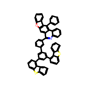 c1ccc(-c2c3c(cc4c(-c5cccc(-c6cc(-c7cccc8sc9ccccc9c78)cc(-c7cccc8sc9ccccc9c78)c6)c5)nc5ccccc5c24)oc2ccccc23)cc1